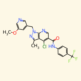 COc1cncc(Cn2nc(C)c3c(Cl)c(C(=O)Nc4ccc(C(F)(F)F)cc4)cnc32)c1